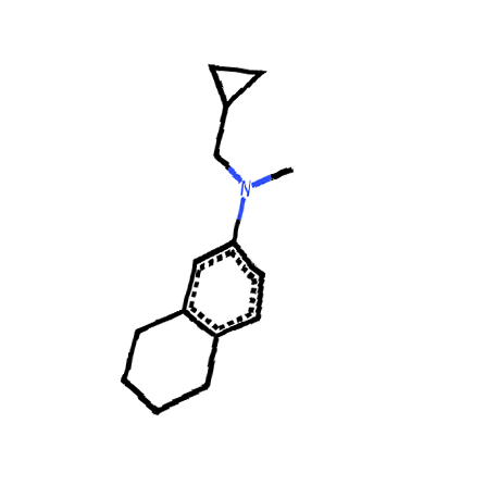 CN(CC1CC1)c1ccc2c(c1)CCCC2